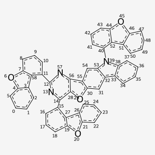 c1ccc2c(c1)oc1cccc(-c3nc(-c4cccc5oc6ccccc6c45)c4oc5cc6c7ccccc7n(-c7cccc8oc9ccccc9c78)c6cc5c4n3)c12